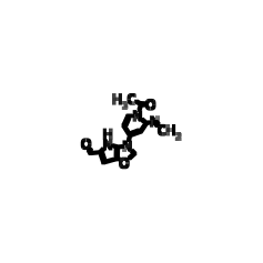 C=NC1C=C(N2COc3cc(C=O)[nH]c32)C=CN1C(C)=O